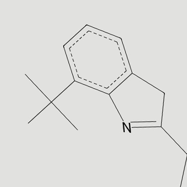 CCC1=Nc2c(cccc2C(C)(C)C)C1